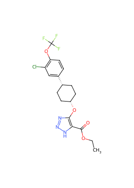 CCOC(=O)c1[nH]nnc1O[C@H]1CC[C@@H](c2ccc(OC(F)(F)F)c(Cl)c2)CC1